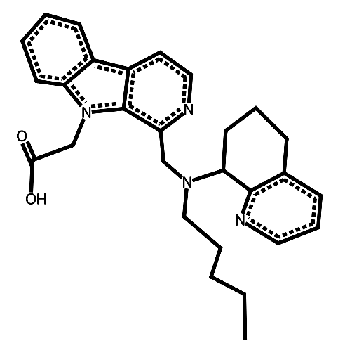 CCCCCN(Cc1nccc2c3ccccc3n(CC(=O)O)c12)C1CCCc2cccnc21